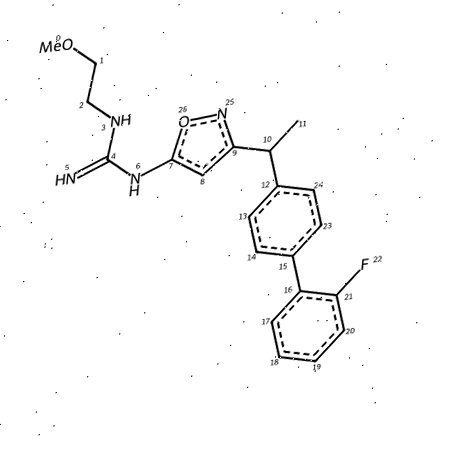 COCCNC(=N)Nc1cc(C(C)c2ccc(-c3ccccc3F)cc2)no1